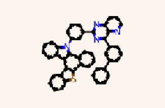 c1ccc(-c2cccc(-c3nc(-c4cccc(-n5c6ccccc6c6c7c8ccccc8sc7c7ccccc7c65)c4)nc4cccnc34)c2)cc1